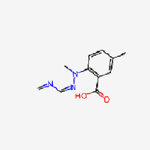 C=N/C=N\N(C)c1ccc(C)cc1C(=O)O